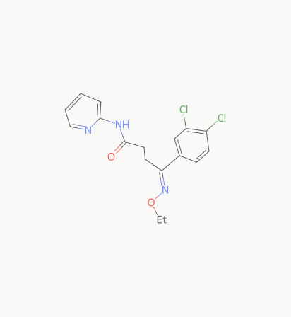 CCO/N=C(\CCC(=O)Nc1ccccn1)c1ccc(Cl)c(Cl)c1